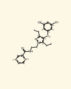 CCc1nn(CCNC(=O)c2cnccn2)c(CC)c1Oc1cc(Cl)cc(Cl)c1